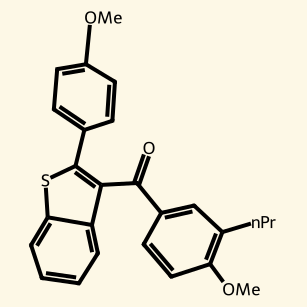 CCCc1cc(C(=O)c2c(-c3ccc(OC)cc3)sc3ccccc23)ccc1OC